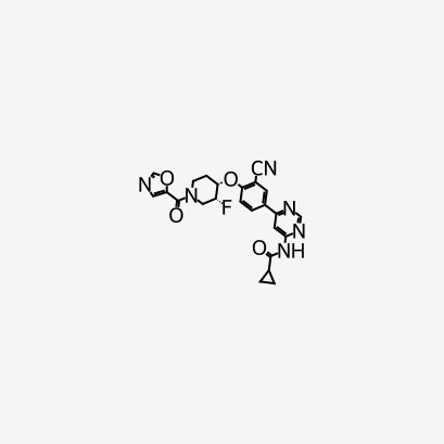 N#Cc1cc(-c2cc(NC(=O)C3CC3)ncn2)ccc1O[C@H]1CCN(C(=O)c2cnco2)C[C@H]1F